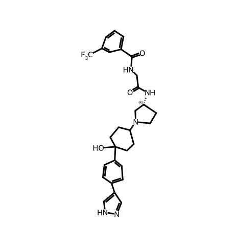 O=C(CNC(=O)c1cccc(C(F)(F)F)c1)N[C@@H]1CCN(C2CCC(O)(c3ccc(-c4cn[nH]c4)cc3)CC2)C1